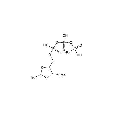 CCC(C)C1CC(OC)C(COP(=O)(O)OP(=O)(O)OP(=O)(O)O)O1